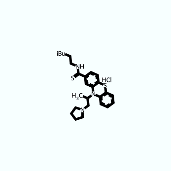 CCC(C)CCNC(=S)c1ccc2c(c1)N(C(C)CN1CCCC1)c1ccccc1S2.Cl